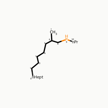 CCCCCCCCCCCCC(C)CPCCC